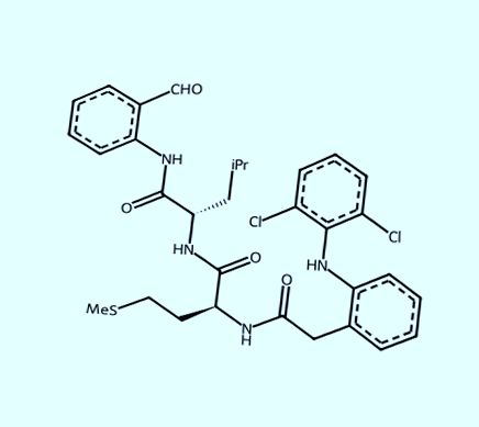 CSCC[C@H](NC(=O)Cc1ccccc1Nc1c(Cl)cccc1Cl)C(=O)N[C@@H](CC(C)C)C(=O)Nc1ccccc1C=O